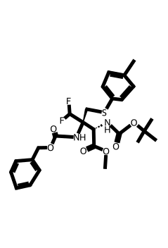 COC(=O)[C@@H](NC(=O)OC(C)(C)C)[C@](CSc1ccc(C)cc1)(NC(=O)OCc1ccccc1)C(F)F